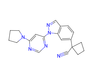 N#CC1(c2ccc3cnn(-c4cc(N5CCCC5)ncn4)c3c2)CCC1